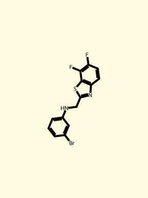 Fc1ccc2nc(CNc3cccc(Br)c3)sc2c1F